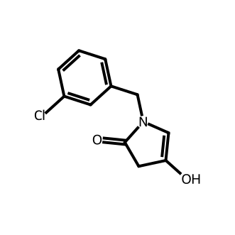 O=C1CC(O)=CN1Cc1cccc(Cl)c1